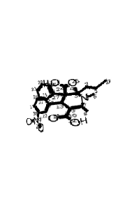 CCCC1(C)N(C)C(C)=C(C(=O)O)C(c2cccc([N+](=O)[O-])c2)C1(C(=O)O)c1ccccc1